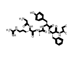 C[C@H](NC(=O)[C@H](CCCNC(=N)N)NC(=O)CN)C(=O)N[C@@H](Cc1ccc(O)cc1)C(=O)N[C@@H](Cc1ccccc1)C(=O)N[C@@H](CC(=O)O)C(=O)O